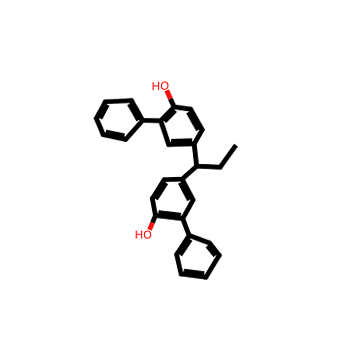 CCC(c1ccc(O)c(-c2ccccc2)c1)c1ccc(O)c(-c2ccccc2)c1